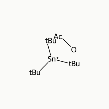 CC(=O)[O-].C[C](C)(C)[Sn+]([C](C)(C)C)[C](C)(C)C